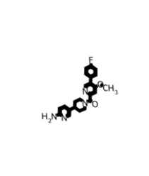 COc1cc(C(=O)N2CCC(c3ccc(N)nc3)CC2)ncc1-c1ccc(F)cc1